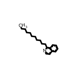 CCCCCCCCCCCc1nccc2ccccc12